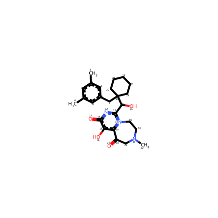 Cc1cc(C)cc(CC2(C(O)c3nc(=O)c(O)c4n3CCN(C)CC4=O)CCCCC2)c1